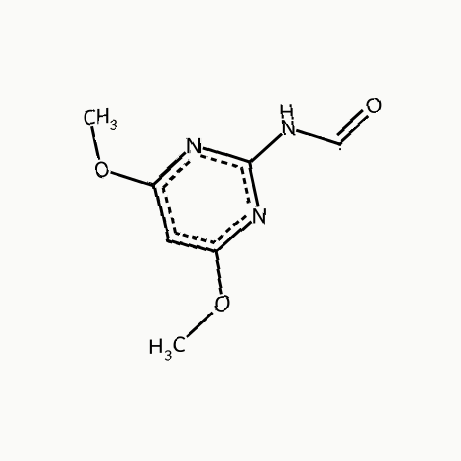 COc1cc(OC)nc(N[C]=O)n1